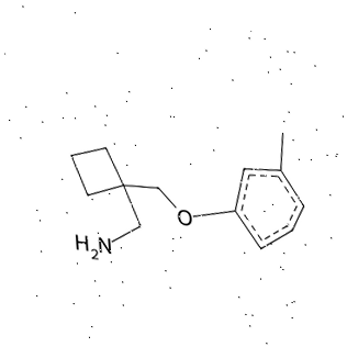 Cc1cccc(OCC2(CN)CCC2)c1